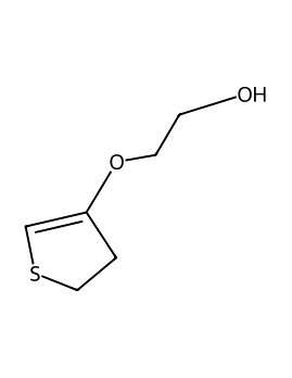 OCCOC1=CSCC1